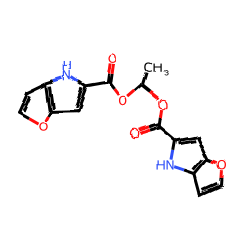 CC(OC(=O)c1cc2occc2[nH]1)OC(=O)c1cc2occc2[nH]1